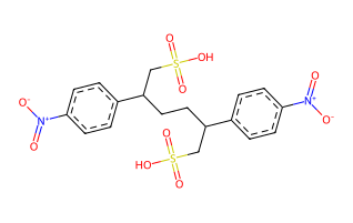 O=[N+]([O-])c1ccc(C(CCC(CS(=O)(=O)O)c2ccc([N+](=O)[O-])cc2)CS(=O)(=O)O)cc1